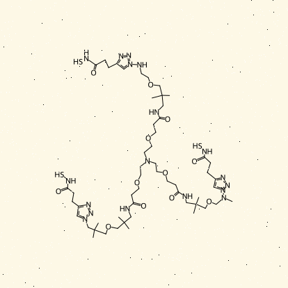 CN(COCC(C)(C)CNC(=O)CCOCCN(CCOCCC(=O)NCC(C)(C)COCCNn1cc(CCC(=O)NS)nn1)CCOCCC(=O)NCC(C)(C)COCC(C)(C)Cn1cc(CCC(=O)NS)nn1)n1cc(CCC(=O)NS)nn1